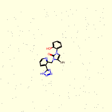 CCCc1cn(-c2ccccc2O)c(=O)n1Cc1ncccc1-c1nnn[nH]1